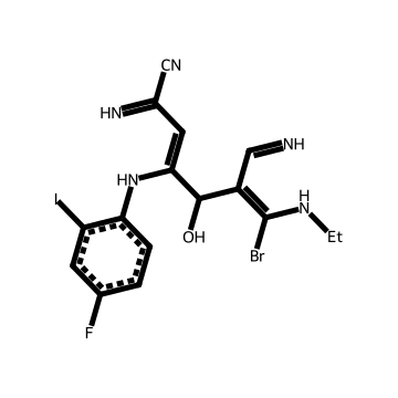 CCN/C(Br)=C(\C=N)C(O)/C(=C/C(=N)C#N)Nc1ccc(F)cc1I